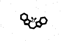 [CH3][Zr]1([CH3])[CH]2C(=CC3=C2CCCC3)CCC2=CC3=C(CCCC3)[CH]21